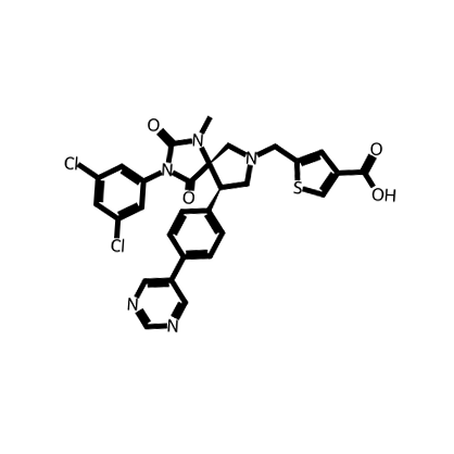 CN1C(=O)N(c2cc(Cl)cc(Cl)c2)C(=O)[C@]12CN(Cc1cc(C(=O)O)cs1)C[C@H]2c1ccc(-c2cncnc2)cc1